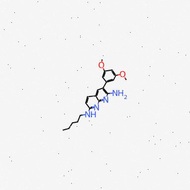 CCCCCNc1ccc2cc(-c3cc(OC)cc(OC)c3)c(N)nc2n1